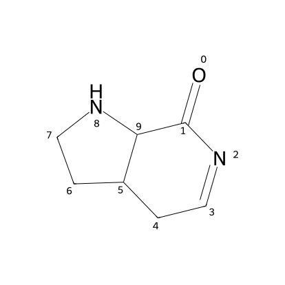 O=C1N=CCC2CCNC12